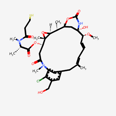 CO[C@@H]1/C=C/C=C(\C)Cc2cc(CO)c(Cl)c(c2)N(C)C(=O)C[C@H](OC(=O)[C@H](C)N(C)C(=O)CCS)[C@]2(C)O[C@H]2[C@H](C)[C@@H]2C[C@@]1(O)NC(=O)O2